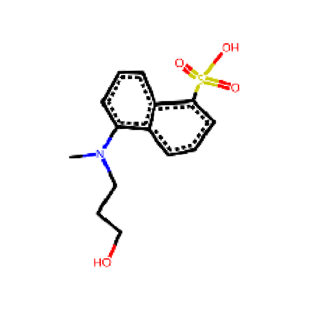 CN(CCCO)c1cccc2c(S(=O)(=O)O)cccc12